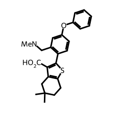 CNCc1cc(Oc2ccccc2)ccc1-c1sc2c(c1C(=O)O)CC(C)(C)CC2